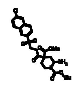 COC(=O)C1(C(=O)CCS(=O)(=O)c2ccc3cc(Cl)ccc3c2)CCN(C(=O)OC(C)(C)C)C(N)C1